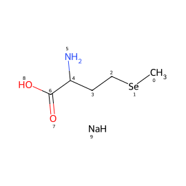 C[Se]CCC(N)C(=O)O.[NaH]